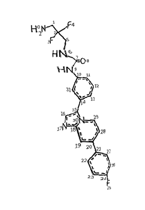 NCC(F)(F)CNC(=O)Nc1cccc(-c2cnc3cc(-c4ccc(F)cc4)ccn23)c1